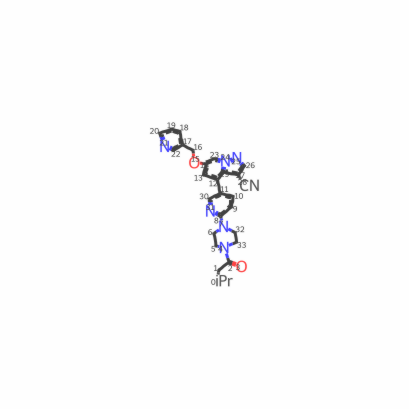 CC(C)CC(=O)N1CCN(c2ccc(-c3cc(OCc4cccnc4)cn4ncc(C#N)c34)cn2)CC1